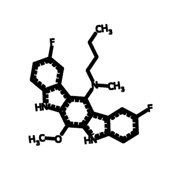 CCCCN(C)c1c2c([nH]c3ccc(F)cc32)c(OC)c2[nH]c3ccc(F)cc3c12